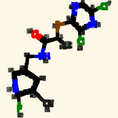 CCC(Sc1ncc(Cl)nc1Cl)C(=O)NCc1cnc(F)c(C#N)c1